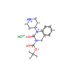 CC(C)(C)OC(=O)N1Cc2ccccc2N(C2CCNCC2)C1=O.Cl